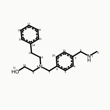 CNCc1ccc(CN(CCO)CCc2ccccc2)cc1